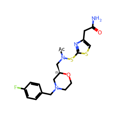 CC(=O)N(C[C@@H]1CN(Cc2ccc(F)cc2)CCO1)Sc1nc(CC(N)=O)cs1